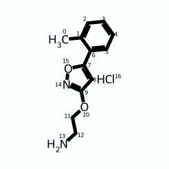 Cc1ccccc1-c1cc(OCCN)no1.Cl